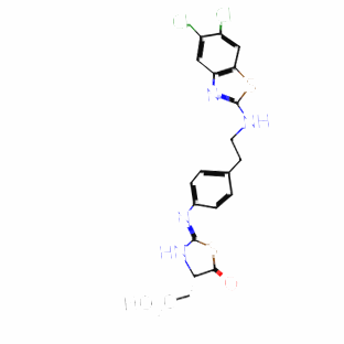 O=C(O)C[C@@H]1N/C(=N/c2ccc(CCNc3nc4cc(Cl)c(Cl)cc4s3)cc2)SC1=O